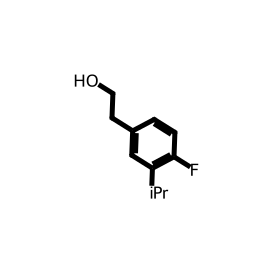 CC(C)c1cc(CCO)ccc1F